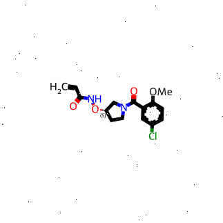 C=CC(=O)NO[C@H]1CCN(C(=O)c2cc(Cl)ccc2OC)C1